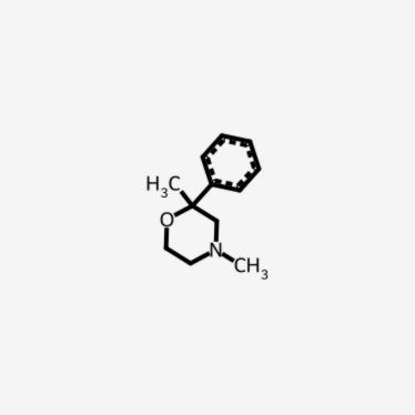 CN1CCOC(C)(c2ccccc2)C1